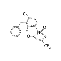 Cn1c(C(F)(F)F)cc(=O)n(-c2c[c]c(Cl)c(Cc3ccccc3)c2F)c1=O